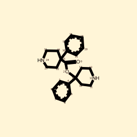 O=C(OC1(c2ccccc2)CCNCC1)C1(c2ccccc2)CCNCC1